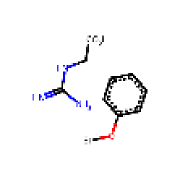 CCOc1ccccc1.N=C(N)NCC(=O)O